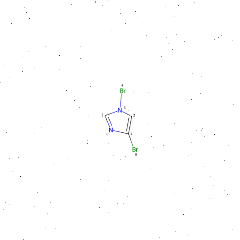 Brc1cn(Br)cn1